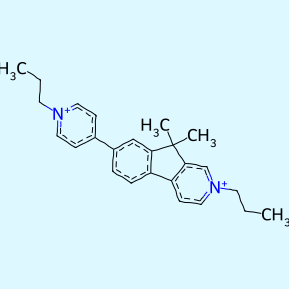 CCC[n+]1ccc(-c2ccc3c(c2)C(C)(C)c2c[n+](CCC)ccc2-3)cc1